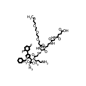 COCCOCCOCCOCCC(=O)N[C@@H](CSCC(=O)N(CCCN)[C@@H](c1cc(-c2cc(F)ccc2F)cn1Cc1ccccc1)C(C)(C)C)C(=O)NCCNC(=O)CNC(=O)CCC(=O)O